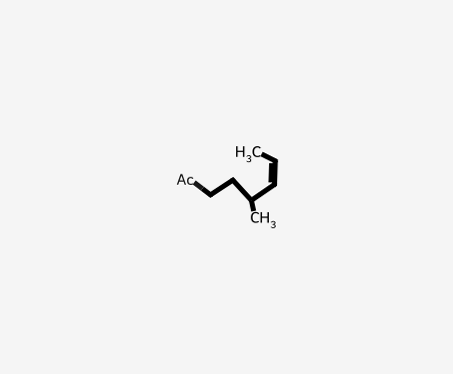 C/C=C\C(C)CCC(C)=O